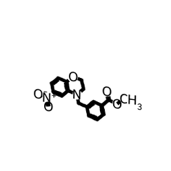 COC(=O)c1cccc(CN2CCOc3ccc([N+](=O)[O-])cc32)c1